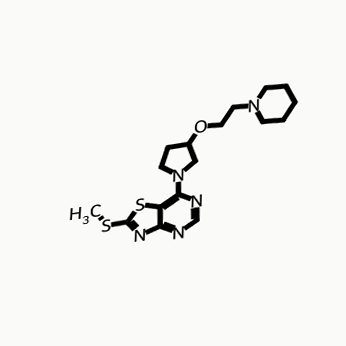 CSc1nc2ncnc(N3CCC(OCCN4CCCCC4)C3)c2s1